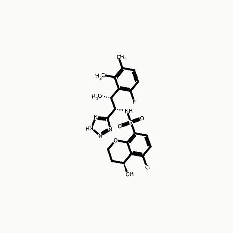 Cc1ccc(F)c([C@@H](C)[C@H](NS(=O)(=O)c2ccc(Cl)c3c2OCC[C@@H]3O)c2nn[nH]n2)c1C